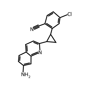 N#Cc1ccc(Cl)cc1C1CC1c1ccc2ccc(N)cc2n1